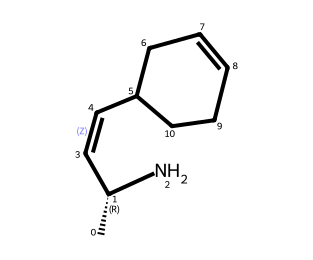 C[C@@H](N)/C=C\C1CC=CCC1